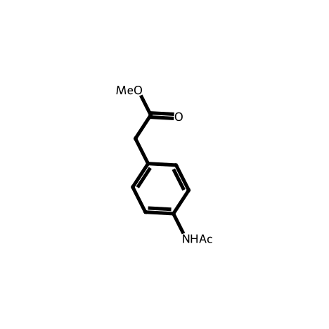 COC(=O)Cc1ccc(NC(C)=O)cc1